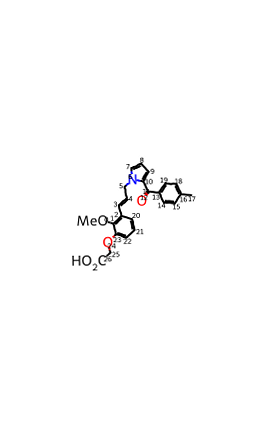 COc1c(C=CCn2cccc2C(=O)c2ccc(C)cc2)cccc1OCC(=O)O